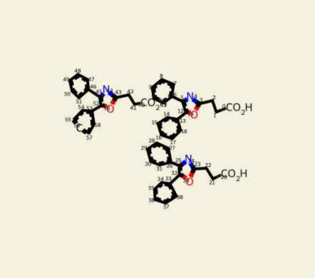 O=C(O)CCc1nc(-c2ccccc2)c(-c2ccccc2)o1.O=C(O)CCc1nc(-c2ccccc2)c(-c2ccccc2)o1.O=C(O)CCc1nc(-c2ccccc2)c(-c2ccccc2)o1